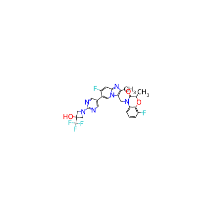 Cc1nc2cc(F)c(-c3cnc(N4CC(O)(C(F)(F)F)C4)nc3)cn2c1CN1C(=O)[C@@H](C)Oc2c(F)cccc21